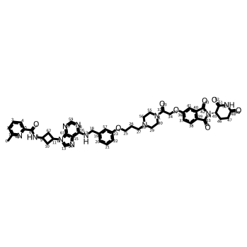 Cc1cccc(C(=O)NC2CC(n3cnc4c(NCc5cccc(OCCCN6CCN(C(=O)COc7ccc8c(c7)C(=O)N([C@H]7CCC(=O)NC7=O)C8=O)CC6)c5)ncnc43)C2)n1